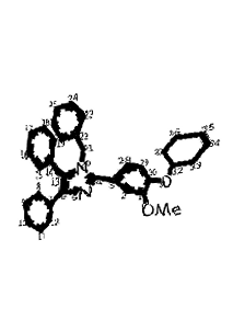 COc1cc(-c2nc(-c3ccccc3)c(-c3ccccc3)n2Cc2ccccc2)ccc1OC1CCCCC1